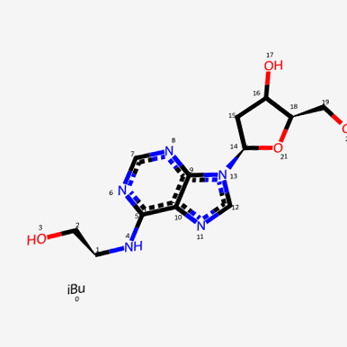 CC[C@H](C)[C@@H](CO)Nc1ncnc2c1ncn2[C@H]1CC(O)[C@@H](CO)O1